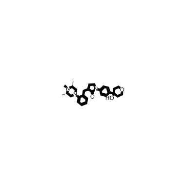 C[C@@H]1CN(c2ccccc2CC2CCN(c3ccc(C4(O)CCOCC4)cc3)C2=O)C[C@H](C)N1C